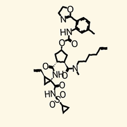 C=CCCCCN(C)C(=O)[C@@H]1C[C@H](OC(=O)Nc2cc(C)ccc2C2=NCCO2)C[C@H]1C(=O)N[C@]1(C(=O)NS(=O)(=O)C2CC2)C[C@H]1C=C